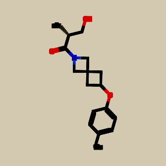 CCC[C@H](CO)C(=O)N1CC2(CC(Oc3ccc(C(C)(C)C)cc3)C2)C1